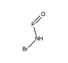 O=PNBr